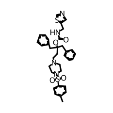 Cc1ccc(S(=O)(=O)N2CCN(CCC(Cc3ccccc3)(Cc3ccccc3)OC(=O)NCc3cncs3)CC2)cc1